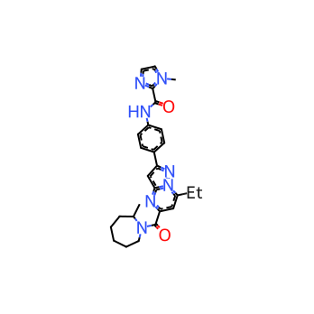 CCc1cc(C(=O)N2CCCCCC2C)nc2cc(-c3ccc(NC(=O)c4nccn4C)cc3)nn12